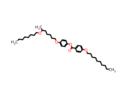 CCCCCCCCCCOc1ccc(C(=O)Oc2ccc(OCCCCCC(C)OCCCCCCCC)cc2)cc1